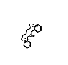 O=C(O)CCCCC(=O)O.c1ccc([CH2][Sn][CH2]c2ccccc2)cc1